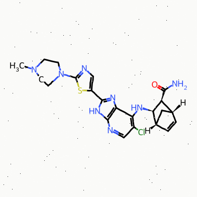 CN1CCN(c2ncc(-c3nc4c(N[C@H]5[C@@H](C(N)=O)[C@@H]6C=C[C@H]5C6)c(Cl)cnc4[nH]3)s2)CC1